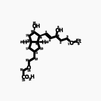 CCOCCC(O)C=C[C@H]1[C@@H]2CC(CCOCC(=O)O)C[C@H]2C[C@@H]1O